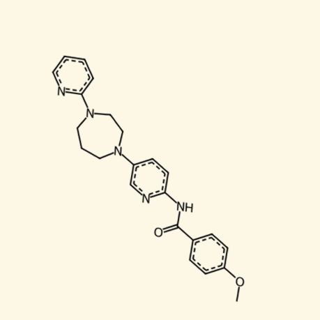 COc1ccc(C(=O)Nc2ccc(N3CCCN(c4ccccn4)CC3)cn2)cc1